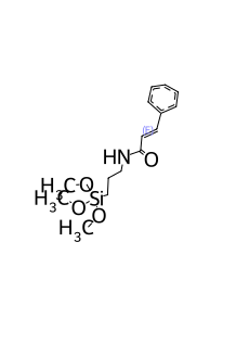 CO[Si](CCCNC(=O)/C=C/c1ccccc1)(OC)OC